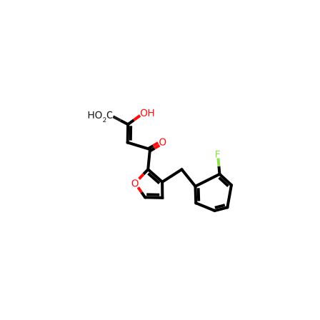 O=C(O)/C(O)=C/C(=O)c1occc1Cc1ccccc1F